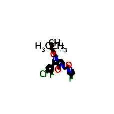 CS(C)(C)CCOCn1cc(-c2ccc(Cl)c(F)c2)c2c(=O)n(CC(=O)N3CCC(F)C3)ccc21